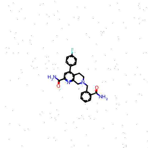 NC(=O)c1cc(-c2ccc(F)cc2)c2c(n1)CN(Cc1ccccc1C(N)=O)CC2